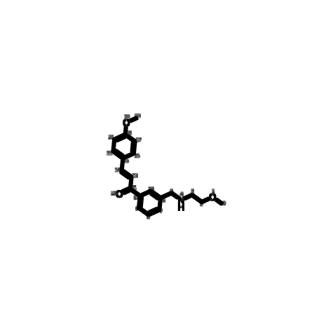 COCCNCc1cccc(C(=O)/C=C/c2ccc(OC)cc2)c1